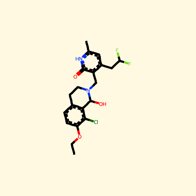 CCOc1ccc2c(c1Cl)C(O)N(Cc1c(CC(F)F)cc(C)[nH]c1=O)CC2